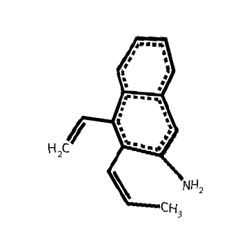 C=Cc1c(/C=C\C)c(N)cc2ccccc12